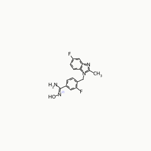 Cc1nc2cc(F)ccc2n1Cc1ccc(/C(N)=N/O)cc1F